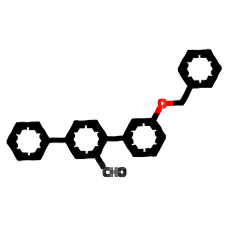 O=Cc1cc(-c2ccccc2)ccc1-c1cccc(OCc2ccccc2)c1